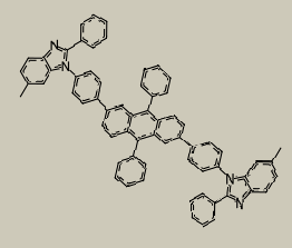 Cc1ccc2nc(-c3ccccc3)n(-c3ccc(-c4ccc5c(-c6ccccc6)c6cc(-c7ccc(-n8c(-c9ccccc9)nc9ccc(C)cc98)cc7)ccc6c(-c6ccccc6)c5c4)cc3)c2c1